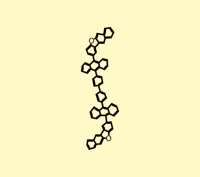 c1ccc2cc3c(cc2c1)oc1ccc(-c2c4ccccc4c(-c4ccc(-c5ccc(-c6c7ccccc7c(-c7ccc8oc9cc%10ccccc%10cc9c8c7)c7ccccc67)cc5)cc4)c4ccccc24)cc13